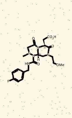 COCCN1C[C@H]2N(C(=O)CN(C)N2C(=O)NCc2ccc(F)cc2)[C@@H](CC(=O)O)C1=O